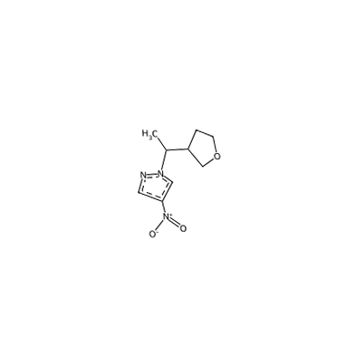 CC(C1CCOC1)n1cc([N+](=O)[O-])cn1